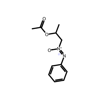 CC(=O)OC(C)C/[N+]([O-])=N/c1ccccc1